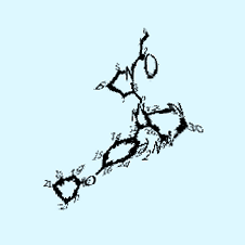 C=CC(=O)N1CCCC1Cn1nc(-c2ccc(Oc3ccccc3)cc2)c2c(N)ncnc21